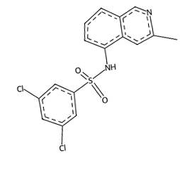 Cc1cc2c(NS(=O)(=O)c3cc(Cl)cc(Cl)c3)cccc2cn1